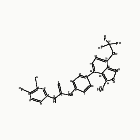 Cc1cc(NC(=O)Nc2ccc(-c3ccc(OC(F)(F)F)c4noc(N)c34)cc2)ccc1F